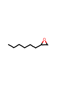 CCCCCCC1[CH]O1